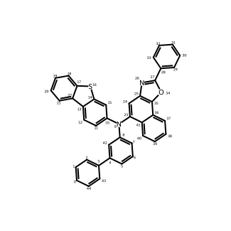 c1ccc(-c2cccc(N(c3ccc4c(c3)sc3ccccc34)c3cc4nc(-c5ccccc5)oc4c4ccccc34)c2)cc1